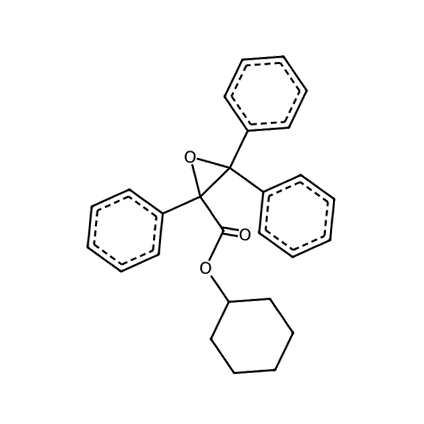 O=C(OC1CCCCC1)C1(c2ccccc2)OC1(c1ccccc1)c1ccccc1